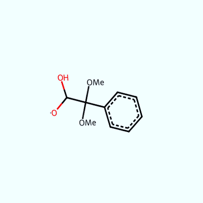 COC(OC)(c1ccccc1)C([O])O